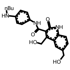 CCCCNc1ccc(NC(=O)c2c(CO)c3cc(CO)ccc3[nH]c2=O)cc1